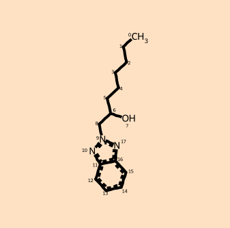 CCCCCCC(O)Cn1nc2ccccc2n1